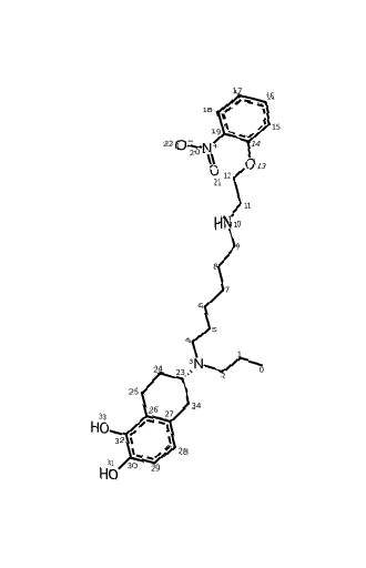 CCCN(CCCCCCNCCOc1ccccc1[N+](=O)[O-])[C@H]1CCc2c(ccc(O)c2O)C1